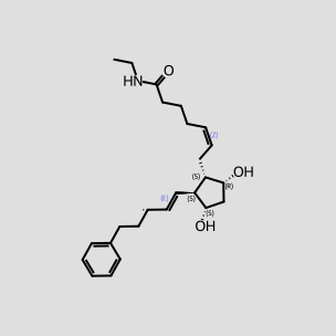 CCNC(=O)CCC/C=C\C[C@H]1[C@H](/C=C/[CH]CCc2ccccc2)[C@@H](O)C[C@H]1O